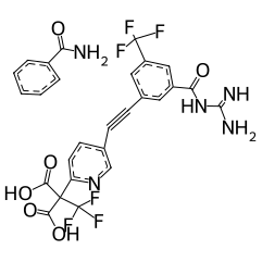 N=C(N)NC(=O)c1cc(C#Cc2ccc(C(C(=O)O)(C(=O)O)C(F)(F)F)nc2)cc(C(F)(F)F)c1.NC(=O)c1ccccc1